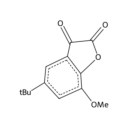 COc1cc(C(C)(C)C)cc2c1OC(=O)C2=O